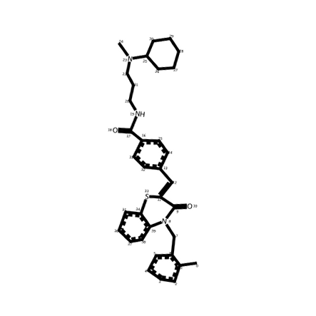 Cc1ccccc1CN1C(=O)C(=Cc2ccc(C(=O)NCCCN(C)C3CCCCC3)cc2)Sc2ccccc21